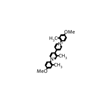 COc1ccc(-[n+]2ccc(-c3cc[n+](-c4ccc(OC)cc4C)cc3C)cc2)c(C)c1